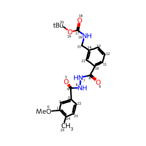 COc1cc(C(=O)NNC(=O)c2cccc(CNC(=O)OC(C)(C)C)c2)ccc1C